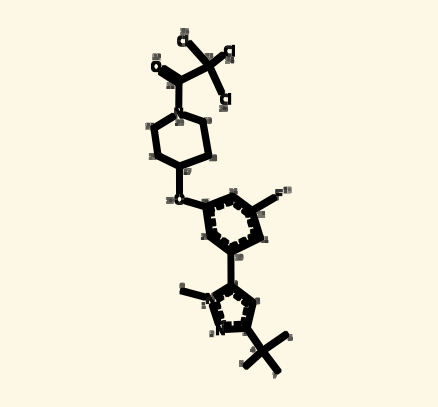 Cn1nc(C(C)(C)C)cc1-c1cc(F)cc(OC2CCN(C(=O)C(Cl)(Cl)Cl)CC2)c1